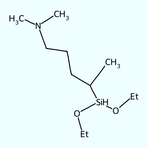 CCO[SiH](OCC)C(C)CCCN(C)C